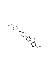 CCCc1ccc(-c2ccc([C@H]3CC[C@H](/C=C/[C@H]4CC[C@H](CCC)CC4)CC3)cc2)c(F)c1